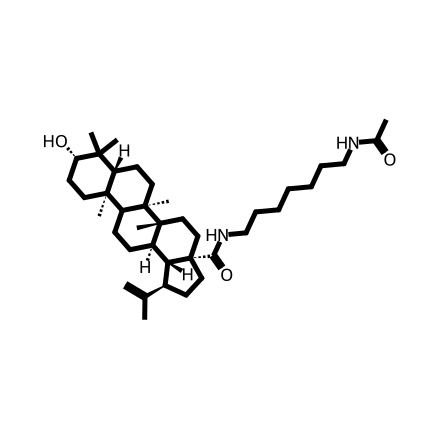 C=C(C)[C@@H]1CC[C@]2(C(=O)NCCCCCCCNC(C)=O)CC[C@]3(C)[C@H](CCC4[C@@]5(C)CC[C@H](O)C(C)(C)[C@@H]5CC[C@]43C)[C@@H]12